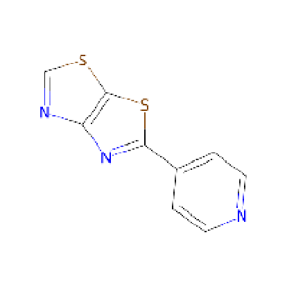 c1cc(-c2nc3ncsc3s2)ccn1